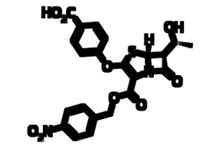 C[C@@H](O)[C@H]1C(=O)N2C(C(=O)OCc3ccc([N+](=O)[O-])cc3)=C(Oc3ccc(C(=O)O)cc3)S[C@H]12